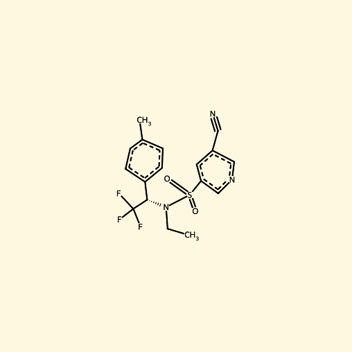 CCN([C@@H](c1ccc(C)cc1)C(F)(F)F)S(=O)(=O)c1cncc(C#N)c1